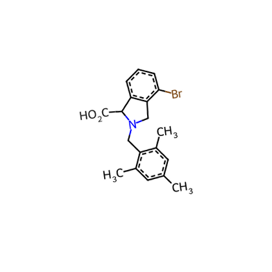 Cc1cc(C)c(CN2Cc3c(Br)cccc3C2C(=O)O)c(C)c1